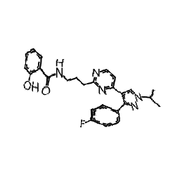 CC(C)n1cc(-c2ccnc(CCCNC(=O)c3ccccc3O)n2)c(-c2ccc(F)cc2)n1